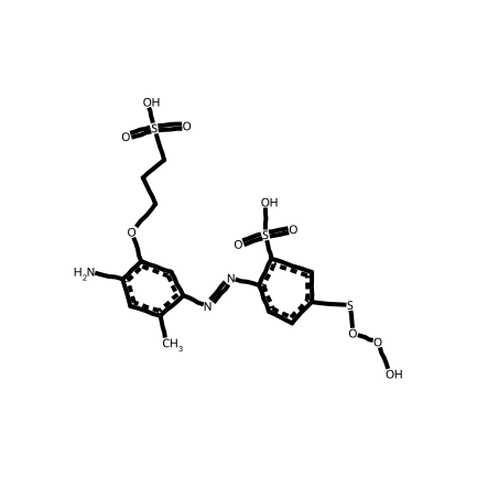 Cc1cc(N)c(OCCCS(=O)(=O)O)cc1N=Nc1ccc(SOOO)cc1S(=O)(=O)O